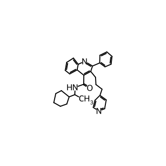 CC(NC(=O)c1c(CCCc2ccncc2)c(-c2ccccc2)nc2ccccc12)C1CCCCC1